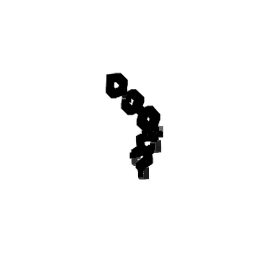 Clc1ccc(Cn2cnc3ccc(C4=CCN(C5CCCCC5)CC4)cc32)c(Cl)c1